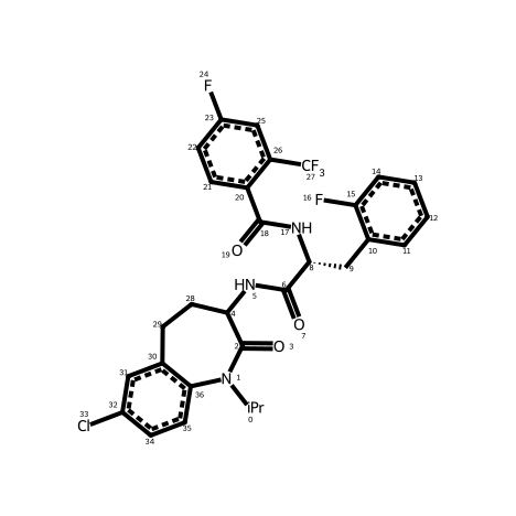 CC(C)N1C(=O)C(NC(=O)[C@@H](Cc2ccccc2F)NC(=O)c2ccc(F)cc2C(F)(F)F)CCc2cc(Cl)ccc21